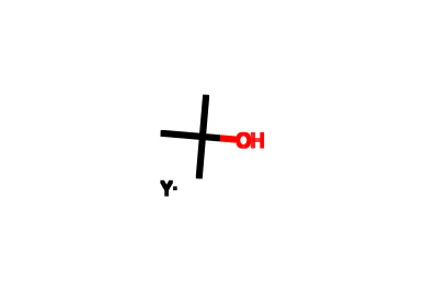 CC(C)(C)O.[Y]